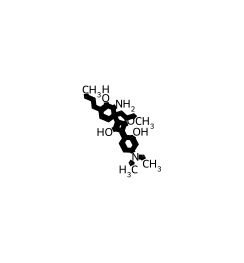 CCCCC1=C(O)C(N)C(CCCC)(C2=C(O)C(=C3C=CC(N(CC)CC)C=C3O)C2=O)C=C1